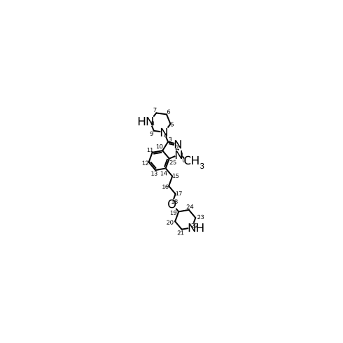 Cn1nc(N2CCCNC2)c2cccc(CCCOC3CCNCC3)c21